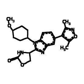 COC1CCC(n2c(C3COC(=O)N3)nc3cc(-c4c(C)noc4C)ccc32)CC1